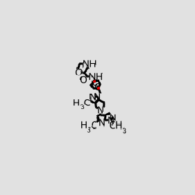 Cc1cc(N2CCc3c(c(C)nn3CC34CCC(NC(=O)C5CNCCO5)(CC3)CC4)C2)c2cnn(C)c2n1